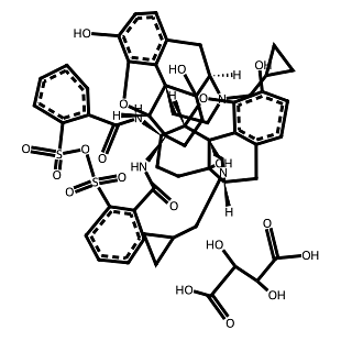 O=C(N[C@@H]1CCC2(O)[C@H]3Cc4ccc(O)c5c4[C@@]2(CCN3CC2CC2)[C@H]1O5)c1ccccc1S(=O)(=O)OS(=O)(=O)c1ccccc1C(=O)N[C@@H]1CCC2(O)[C@H]3Cc4ccc(O)c5c4[C@@]2(CCN3CC2CC2)[C@H]1O5.O=C(O)C(O)C(O)C(=O)O